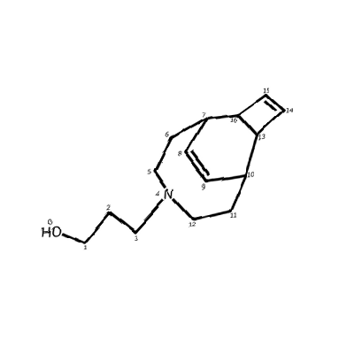 OCCCN1CCC2C=CC(CC1)C1C=CC21